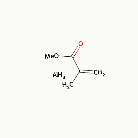 C=C(C)C(=O)OC.[AlH3]